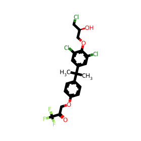 CC(C)(c1ccc(OCC(=O)C(F)(F)F)cc1)c1cc(Cl)c(OC[C@H](O)CCl)c(Cl)c1